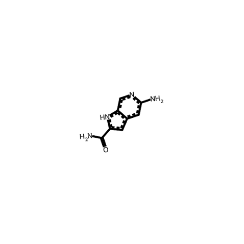 NC(=O)c1cc2cc(N)ncc2[nH]1